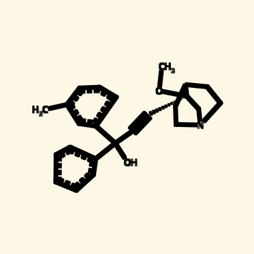 CO[C@]1(C#CC(O)(c2ccccc2)c2cccc(C)c2)CN2CCC1CC2